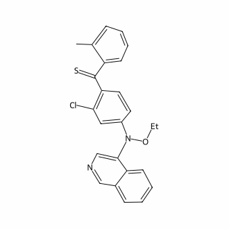 CCON(c1ccc(C(=S)c2ccccc2C)c(Cl)c1)c1cncc2ccccc12